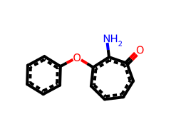 Nc1c(Oc2ccccc2)ccccc1=O